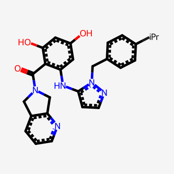 CC(C)c1ccc(Cn2nccc2Nc2cc(O)cc(O)c2C(=O)N2Cc3cccnc3C2)cc1